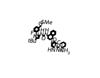 CSOCc1ccc(F)c(-n2nc(C(C)(C)C)cc2NC(=O)N[C@H]2CC[C@@H](Oc3ccc(=N)n(C(=N)N4[C@H](C)CCC[C@@H]4C)c3)c3ccccc32)c1